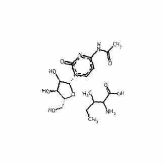 CC(=O)Nc1ccn([C@@H]2O[C@H](CO)[C@@H](O)[C@H]2O)c(=O)n1.CCC(C)C(N)C(=O)O